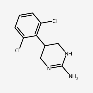 NC1=NCC(c2c(Cl)cccc2Cl)CN1